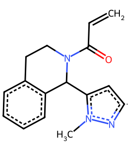 C=CC(=O)N1CCc2ccccc2C1c1c[c]nn1C